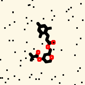 Cc1cc(C)c(CCC(=O)OCC2CC(OC(=O)C(C)C)CCO2)c(C)c1